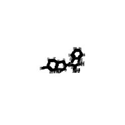 Cc1ccc(CC(CO)n2c(=N)[nH]c3ccccc32)cc1